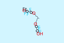 CCOc1ccc(-c2ccc(OCCCCC(C)CCCCOc3ccc(-c4ccc(O)c(F)c4F)c(F)c3)cc2F)c(F)c1F